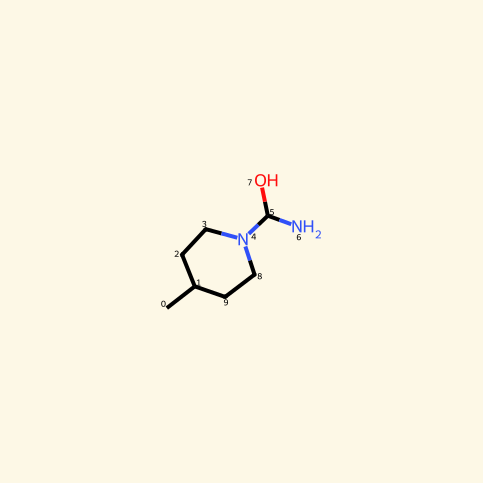 CC1CCN(C(N)O)CC1